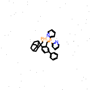 PCC1(c2ccc(-c3ccccc3)cc2CP(c2ccccn2)c2ccccn2)C2CC3CC(C2)CC1C3